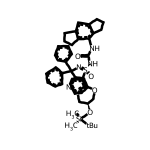 CC(C)(C)[Si](C)(C)O[C@@H]1COc2c([S@](=O)(=NC(c3ccccc3)(c3ccccc3)c3ccccc3)NC(=O)Nc3c4c(cc5c3CCC5)CCC4)cnn2C1